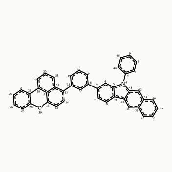 c1ccc(-n2c3cc(-c4cccc(-c5ccc6c7c(cccc57)-c5ccccc5O6)c4)ccc3c3cc4ccccc4cc32)cc1